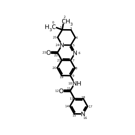 CC1(C)CCc2nc3cc(NC(=O)c4ccncc4)ccc3c(=O)n2C1